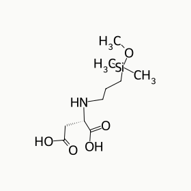 CO[Si](C)(C)CCCN[C@@H](CC(=O)O)C(=O)O